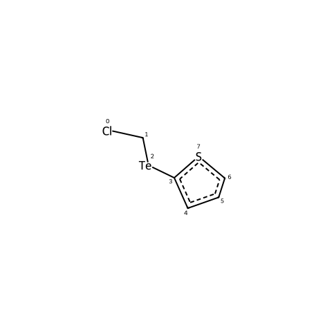 ClC[Te]c1cccs1